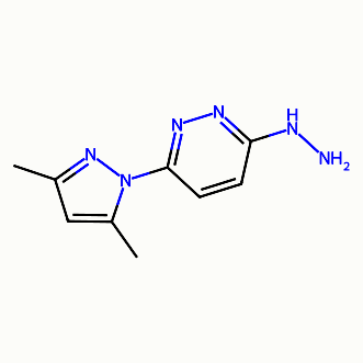 Cc1cc(C)n(-c2ccc(NN)nn2)n1